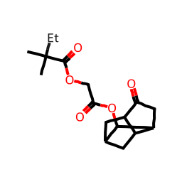 CCC(C)(C)C(=O)OCC(=O)OC1C2CC3C(=O)CC1C3C2